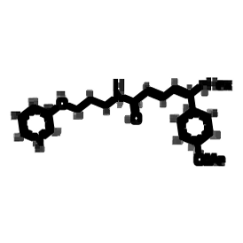 CCCCCCC(=CC=CC(=O)NCCCOc1cccnc1)c1ccc(OC)cc1